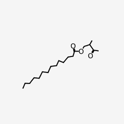 CCCCCCCCCCCCCC(=O)OCC(C)C(C)=O